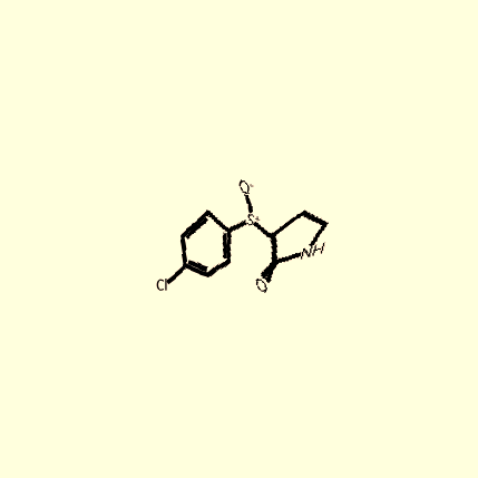 O=C1NCCC1[S+]([O-])c1ccc(Cl)cc1